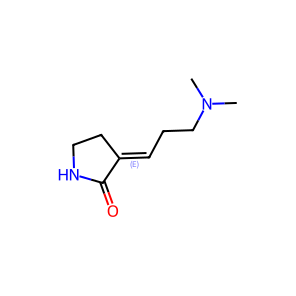 CN(C)CC/C=C1\CCNC1=O